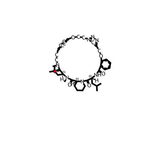 CC(C)C[C@H]1NC(=O)c2ccccc2OCc2cn(nn2)CCOc2ccc(cc2)CCN(C)C(=O)[C@H](CC(C)C)N(C)C(=O)[C@H]2CCCCN2C1=O